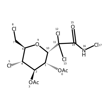 CC(=O)O[C@@H]1[C@@H](OC(C)=O)[C@H](Cl)[C@@H](CCl)O[C@@H]1C(Cl)(Cl)C(=O)NCl